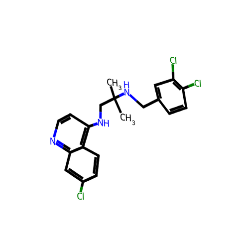 CC(C)(CNc1ccnc2cc(Cl)ccc12)NCc1ccc(Cl)c(Cl)c1